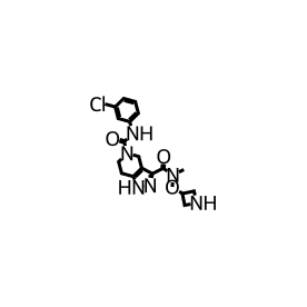 CN(OC1CNC1)C(=O)c1n[nH]c2c1CN(C(=O)Nc1cccc(Cl)c1)CC2